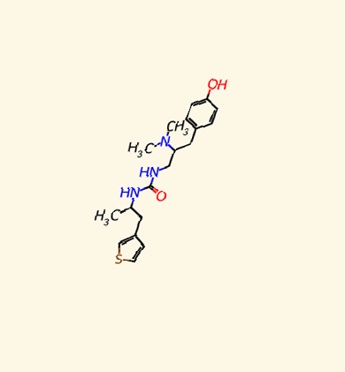 C[C@H](Cc1ccsc1)NC(=O)NCC(Cc1ccc(O)cc1)N(C)C